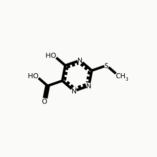 CSc1nnc(C(=O)O)c(O)n1